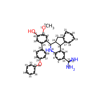 COc1cc(C2Nc3ccc(C(=N)N)cc3C3c4ccccc4CC23)c(-c2ccc(Oc3ccccc3)cc2)cc1O